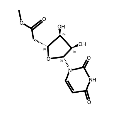 COC(=O)C[C@H]1O[C@@H](n2ccc(=O)[nH]c2=O)[C@H](O)[C@@H]1O